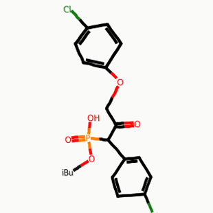 CCC(C)OP(=O)(O)C(C(=O)COc1ccc(Cl)cc1)c1ccc(Cl)cc1